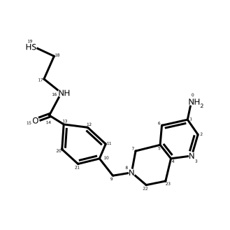 Nc1cnc2c(c1)CN(Cc1ccc(C(=O)NCCS)cc1)CC2